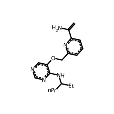 C=C(N)c1cccc(COc2cncnc2NC(CC)CCC)n1